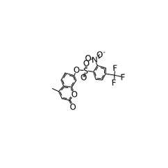 Cc1cc(=O)oc2cc(OS(=O)(=O)c3ccc(C(F)(F)F)cc3[N+](=O)[O-])ccc12